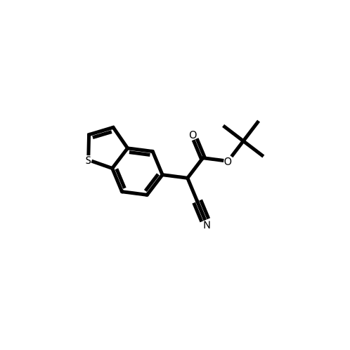 CC(C)(C)OC(=O)C(C#N)c1ccc2sccc2c1